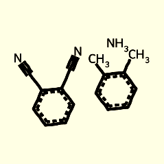 Cc1ccccc1C.N.N#Cc1ccccc1C#N